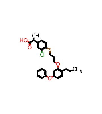 CCCc1ccc(Oc2ccccc2)cc1OCCCSc1ccc(C(C)C(=O)O)cc1Cl